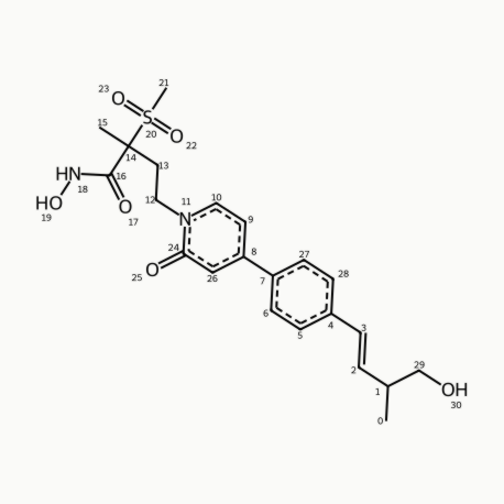 CC(C=Cc1ccc(-c2ccn(CCC(C)(C(=O)NO)S(C)(=O)=O)c(=O)c2)cc1)CO